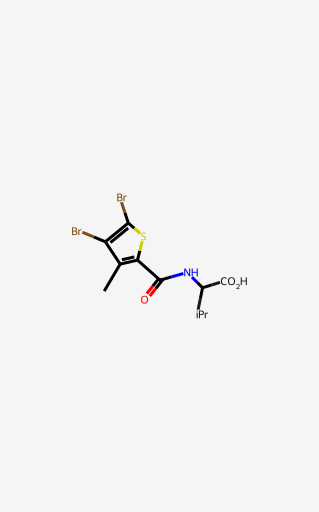 Cc1c(C(=O)NC(C(=O)O)C(C)C)sc(Br)c1Br